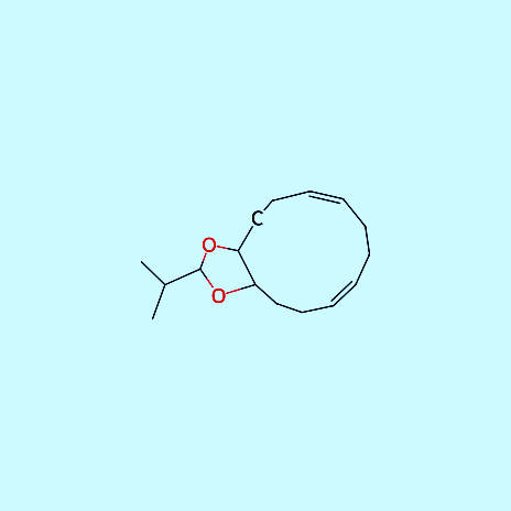 CC(C)C1OC2CCC=CCCC=CCCC2O1